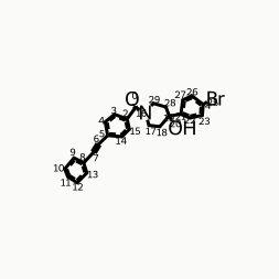 O=C(c1ccc(C#Cc2ccccc2)cc1)N1CCC(O)(c2ccc(Br)cc2)CC1